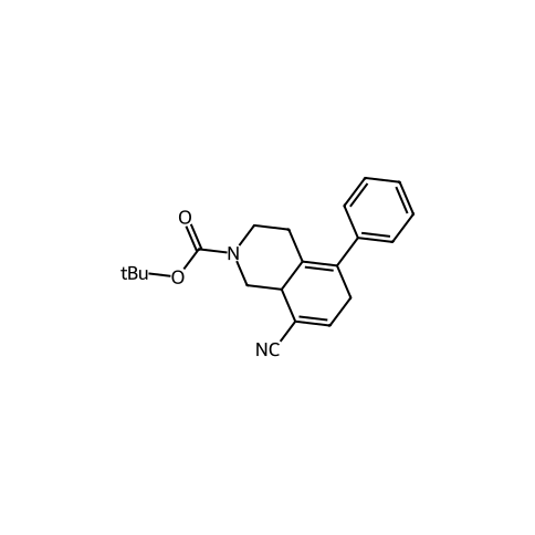 CC(C)(C)OC(=O)N1CCC2=C(c3ccccc3)CC=C(C#N)C2C1